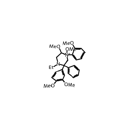 CCN1CC(OC)[N+](OC)(c2ccccc2OC)CC1(c1ccccc1)c1ccc(OC)c(OC)c1